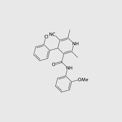 COc1ccccc1NC(=O)C1=C(C)NC(C)=C(C#N)C1c1ccccc1Cl